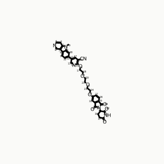 Cn1c2ccncc2c2ccc(-c3cnc(OCCOCCOCCOc4ccc5c(c4)C(=O)N(C4CCC(=O)NC4=O)C5=O)c(C#N)c3)cc21